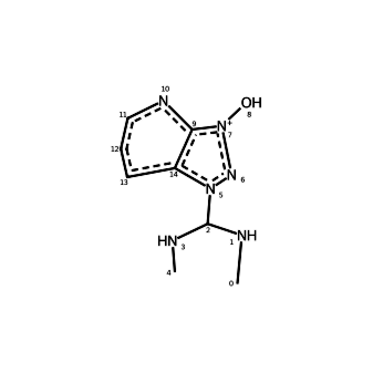 CNC(NC)n1n[n+](O)c2ncccc21